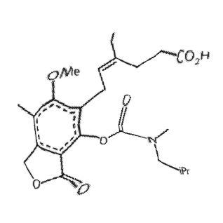 COc1c(C)c2c(c(OC(=O)N(C)CC(C)C)c1CC=C(C)CCC(=O)O)C(=O)OC2